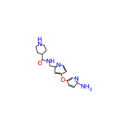 Nc1ccc(Oc2ccnc(CNC(=O)C3CCNCC3)c2)cn1